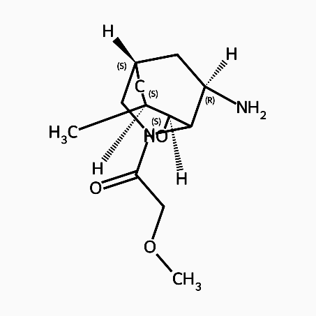 COCC(=O)N1C[C@@H]2C[C@@H](N)C1[C@@H](O)[C@@H](C)C2